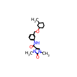 CC1CCCC(OCc2cccc(NC(=O)c3cn(C)c(=O)n3C)c2)C1